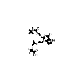 CC(C)OCCn1c(SCOC(=O)N(C)C(C)(C)C)nc(=O)c2[nH]ccc21.O=C(O)C(F)(F)F